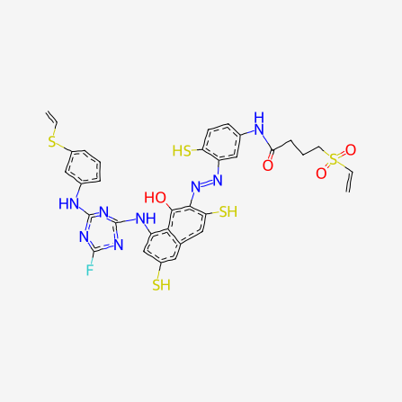 C=CSc1cccc(Nc2nc(F)nc(Nc3cc(S)cc4cc(S)c(/N=N/c5cc(NC(=O)CCCS(=O)(=O)C=C)ccc5S)c(O)c34)n2)c1